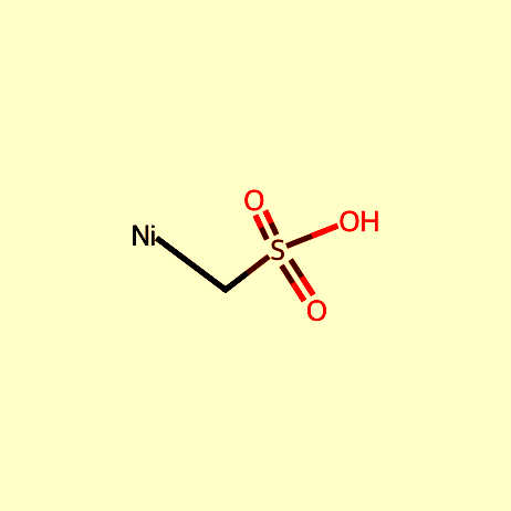 O=S(=O)(O)[CH2][Ni]